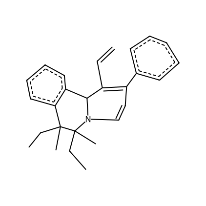 C=CC1=C(c2ccccc2)C=CN2C1c1ccccc1C(C)(CC)C2(C)CC